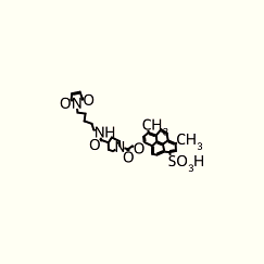 Cc1cc(OCC(=O)N2CCC(C(=O)NCCCCCN3C(=O)C=CC3=O)CC2)c2ccc3c(S(=O)(=O)O)cc(C)c4ccc1c2c43